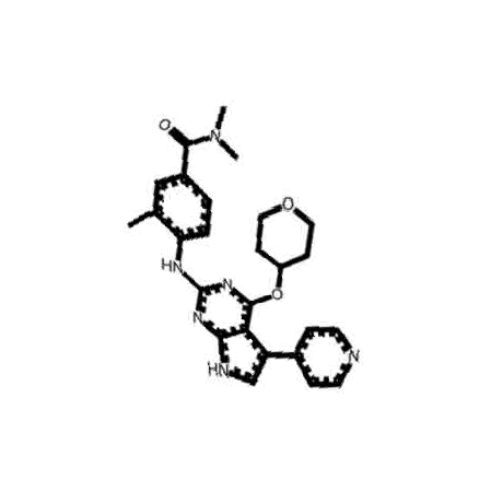 Cc1cc(C(=O)N(C)C)ccc1Nc1nc(OC2CCOCC2)c2c(-c3ccncc3)c[nH]c2n1